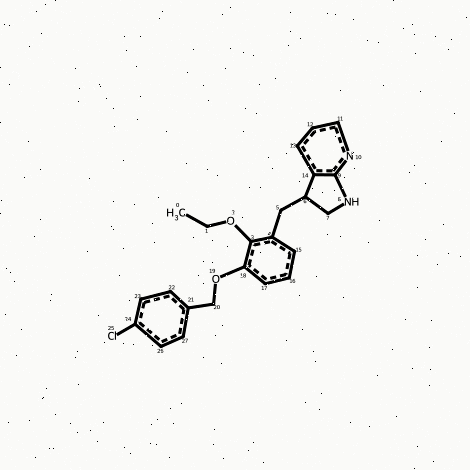 CCOc1c(CC2CNc3ncccc32)cccc1OCc1ccc(Cl)cc1